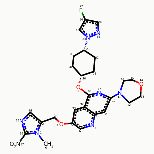 Cn1c(COc2cnc3cc(N4CCOCC4)nc(O[C@H]4CC[C@@H](n5cc(F)cn5)CC4)c3c2)cnc1[N+](=O)[O-]